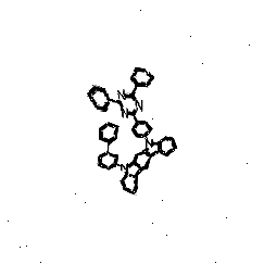 c1ccc(-c2cccc(-n3c4ccccc4c4cc5c6ccccc6n(-c6ccc(-c7nc(-c8ccccc8)nc(-c8ccccc8)n7)cc6)c5cc43)c2)cc1